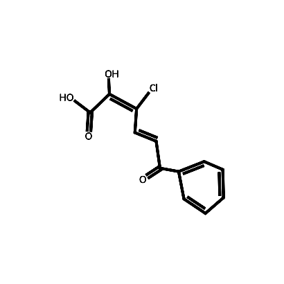 O=C(O)/C(O)=C(Cl)\C=C\C(=O)c1ccccc1